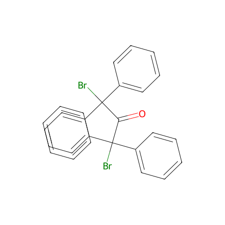 O=C(C(Br)(c1ccccc1)c1ccccc1)C(Br)(c1ccccc1)c1ccccc1